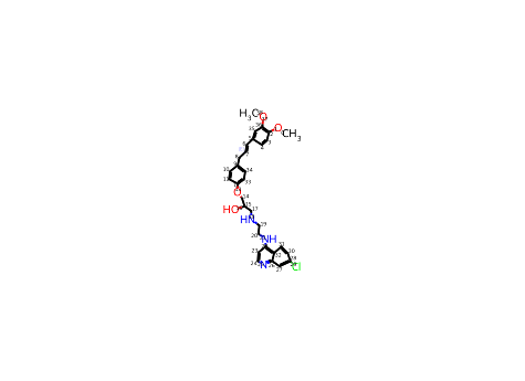 COc1ccc(/C=C/Cc2ccc(OCC(O)CNCCNc3ccnc4cc(Cl)ccc34)cc2)cc1OC